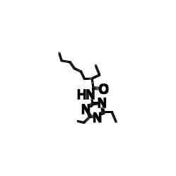 CCCCCCC(CC)C(=O)Nc1nc(CC)nc(CC)n1